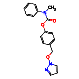 CN(C(=O)Oc1ccc(COn2cccn2)cc1)c1ccccc1